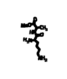 COC(=O)C(C)NC(=O)C(N)CCCCN